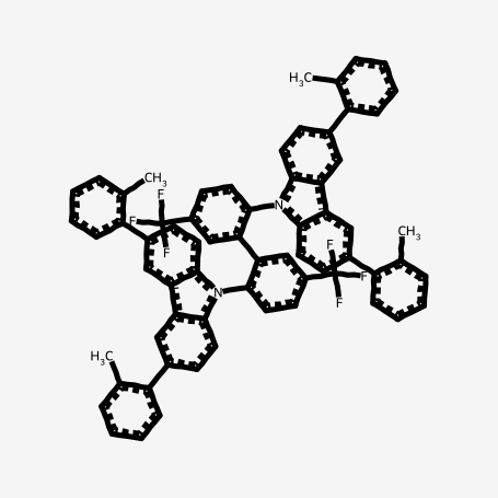 Cc1ccccc1-c1ccc2c(c1)c1cc(-c3ccccc3C)ccc1n2-c1ccc(C(F)(F)F)cc1-c1cc(C(F)(F)F)ccc1-n1c2ccc(-c3ccccc3C)cc2c2cc(-c3ccccc3C)ccc21